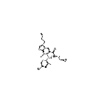 C=CCCn1cnc2c(F)c(Nc3ccc(Br)cc3C)c(C(=O)NOCC3CC3)cc21